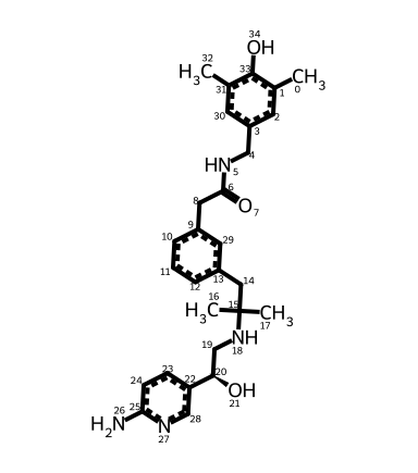 Cc1cc(CNC(=O)Cc2cccc(CC(C)(C)NC[C@@H](O)c3ccc(N)nc3)c2)cc(C)c1O